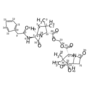 CC1(C)S[C@@H]2[C@H](NC(=O)Cc3ccccc3)C(=O)N2[C@H]1C(=O)OCOC(=O)[C@@H]1N2C(=O)C[C@H]2S(=O)(=O)C1(C)C